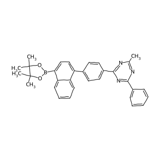 Cc1nc(-c2ccccc2)nc(-c2ccc(-c3ccc(B4OC(C)(C)C(C)(C)O4)c4ccccc34)cc2)n1